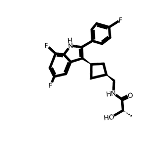 C[C@H](O)C(=O)NC[C@H]1C[C@@H](c2c(-c3ccc(F)cc3)[nH]c3c(F)cc(F)cc32)C1